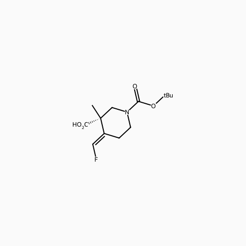 CC(C)(C)OC(=O)N1CC/C(=C\F)[C@](C)(C(=O)O)C1